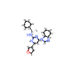 C[C@H](Nc1nc(-c2ccoc2)cc(-n2cnc3ccccc32)n1)c1ccccc1